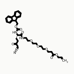 C=CCOC(=O)CCOCCOCCOCCNC(=O)[C@H](CCC(=O)C=[N+]=[N-])NC(=O)OCC1c2ccccc2-c2ccccc21